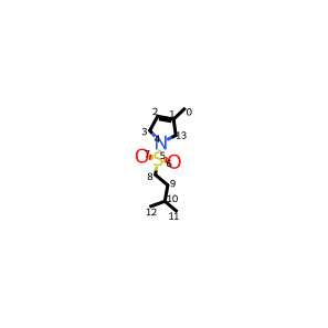 CC1=CCN(S(=O)(=O)CCC(C)C)C1